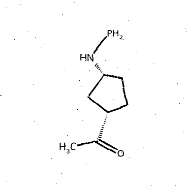 CC(=O)[C@H]1CC[C@@H](NP)C1